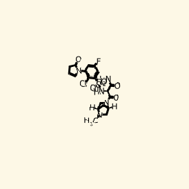 CN1C[C@@H]2C[C@H]1CN2C(=O)[C@@H](NS(=O)(=O)c1cc(F)cc(N2CCCC2=O)c1Cl)C(N)=O